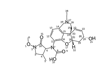 CON1CC(C)C(N(C(=O)O)c2ccc3c4c2O[C@H]2C[C@@H](O)C=C[C@@]42CCN(C)C3)C1=O